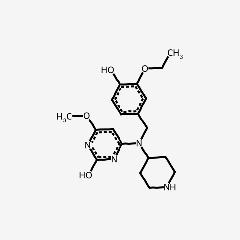 CCOc1cc(CN(c2cc(OC)nc(O)n2)C2CCNCC2)ccc1O